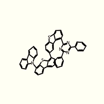 c1ccc(-c2nc(-c3ccccc3)nc(-c3cccc4sc5ccc(-c6cccc7c6sc6c(-n8c9ccccc9c9ccccc98)cccc67)cc5c34)n2)cc1